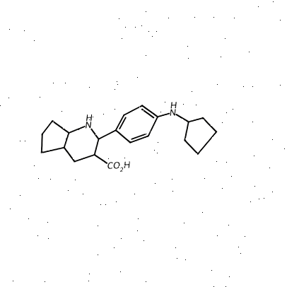 O=C(O)C1CC2CCCC2NC1c1ccc(NC2CCCC2)cc1